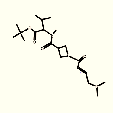 CC(C)C(C(=O)OC(C)(C)C)N(C)C(=O)C1CN(C(=O)/C=C/CN(C)C)C1